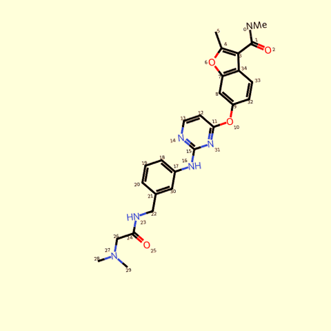 CNC(=O)c1c(C)oc2cc(Oc3ccnc(Nc4cccc(CNC(=O)CN(C)C)c4)n3)ccc12